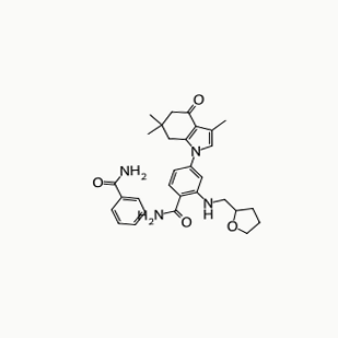 Cc1cn(-c2ccc(C(N)=O)c(NCC3CCCO3)c2)c2c1C(=O)CC(C)(C)C2.NC(=O)c1ccccc1